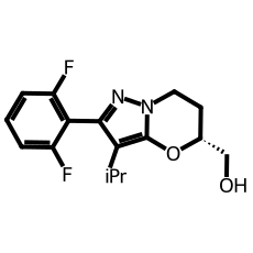 CC(C)c1c(-c2c(F)cccc2F)nn2c1O[C@@H](CO)CC2